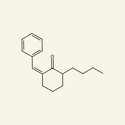 CCCCC1CCCC(=Cc2ccccc2)C1=O